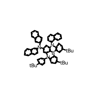 CC(C)(C)c1ccc(N2c3ccc(C(C)(C)C)cc3B3c4cc(C(C)(C)C)ccc4N(c4cccc5ccccc45)c4cc(N(c5ccc6ccccc6c5)c5ccc6ccccc6c5)cc2c43)cc1